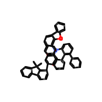 CC1(C)c2ccccc2-c2cccc(-c3ccc(N(c4cccc(-c5ccccc5)c4-c4ccccc4-c4ccccc4)c4cccc5c4oc4ccccc45)cc3)c21